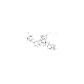 [2H]C([2H])([2H])c1ccc(Cn2c(=O)n(C[C@H](C)C(=O)O)c(=O)[nH]/c2=N\c2ccc(Oc3ccc(F)cn3)cc2)cc1